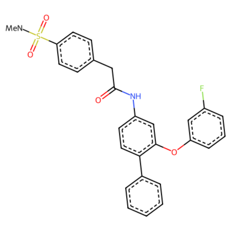 CNS(=O)(=O)c1ccc(CC(=O)Nc2ccc(-c3ccccc3)c(Oc3cccc(F)c3)c2)cc1